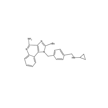 CCCCc1nc2c(N)nc3ccccc3c2n1Cc1ccc(CNC2CC2)cc1